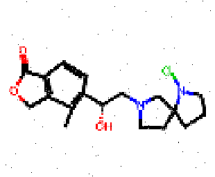 Cc1c([C@@H](O)CN2CCC3(CCCN3Cl)C2)ccc2c1COC2=O